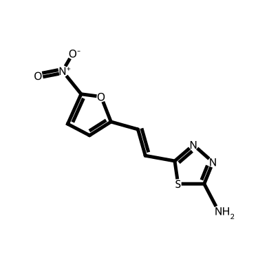 Nc1nnc(/C=C/c2ccc([N+](=O)[O-])o2)s1